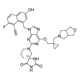 C#Cc1c(F)ccc2cc(O)cc(Cn3cnc4c(OCC5(CN6CC7COCC7C6)CC5)nc(N5CCC[C@]6(C5)NC(=O)NC6=O)nc43)c12